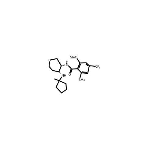 COc1cc(C(F)(F)F)cc(SC)c1C(=O)N[C@H]1COCC[C@H]1NC1(C)CCCC1